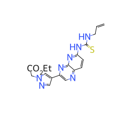 C=CCNC(=S)Nc1ccc2ncc(-c3cnn(CC(=O)OCC)c3)nc2n1